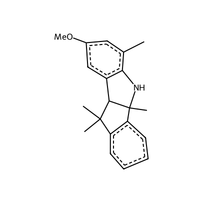 COc1cc(C)c2c(c1)C1C(C)(C)c3ccccc3C1(C)N2